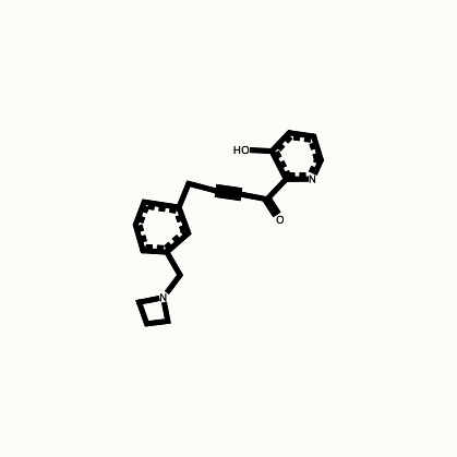 O=C(C#CCc1cccc(CN2CCC2)c1)c1ncccc1O